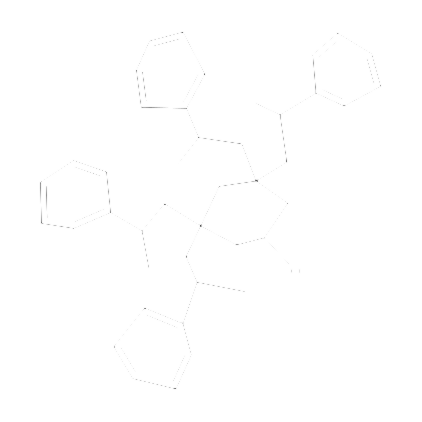 CC(CC1(CC(C)c2ccccc2)CC(O)CC(CC(C)c2ccccc2)(CC(C)c2ccccc2)C1)c1ccccc1